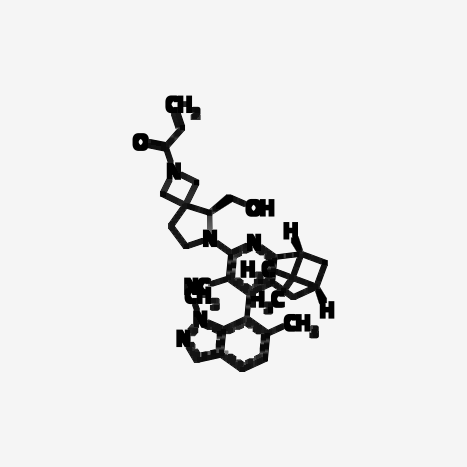 C=CC(=O)N1CC2(CCN(c3nc4c(c(-c5c(C)ccc6cnn(C)c56)c3C#N)C[C@H]3C[C@@H]4C3(C)C)[C@@H]2CO)C1